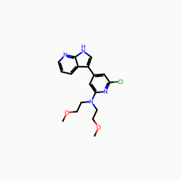 COCCN(CCOC)c1cc(-c2c[nH]c3ncccc23)cc(Cl)n1